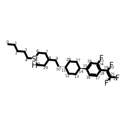 CCCCC[SiH]1CCC(CC[C@H]2CC[C@H](c3ccc(C(F)=C(F)F)c(F)c3)CC2)CC1